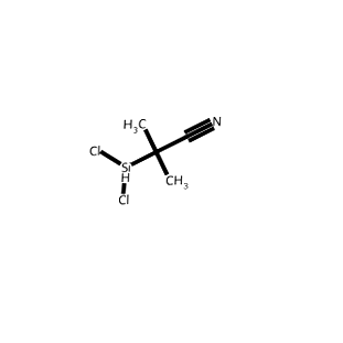 CC(C)(C#N)[SiH](Cl)Cl